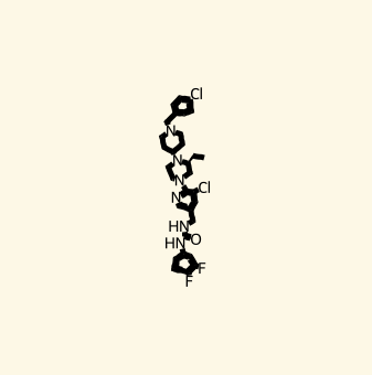 CC[C@H]1CN(c2ncc(CNC(=O)Nc3ccc(F)c(F)c3)cc2Cl)CCN1C1CCN(Cc2ccc(Cl)cc2)CC1